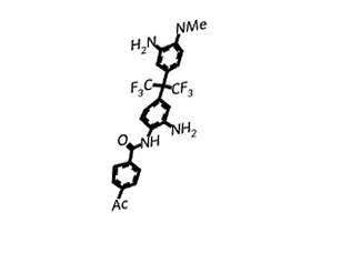 CNc1ccc(C(c2ccc(NC(=O)c3ccc(C(C)=O)cc3)c(N)c2)(C(F)(F)F)C(F)(F)F)cc1N